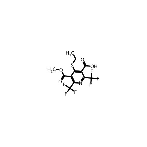 CCSc1c(C(=O)O)c(C(F)(F)F)nc(C(F)(F)F)c1C(=O)OC